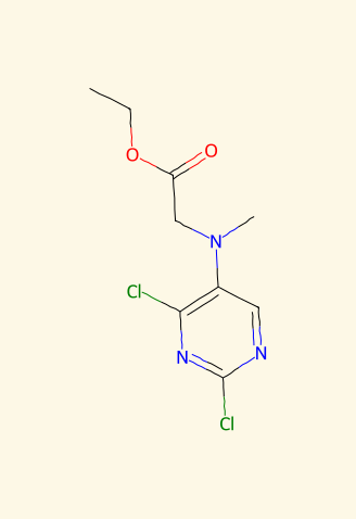 CCOC(=O)CN(C)c1cnc(Cl)nc1Cl